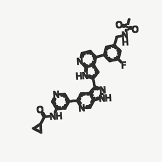 CS(=O)(=O)NCc1cc(F)cc(-c2ccnc3[nH]c(-c4n[nH]c5cnc(-c6cncc(NC(=O)C7CC7)c6)cc45)cc23)c1